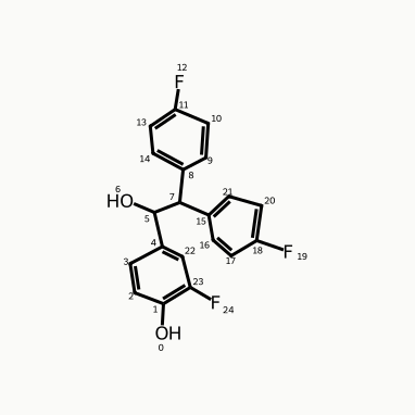 Oc1ccc(C(O)C(c2ccc(F)cc2)c2ccc(F)cc2)cc1F